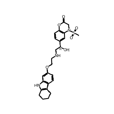 CS(=O)(=O)N1CC(=O)Oc2ccc([C@@H](O)CNCCOc3ccc4c5c([nH]c4c3)CCCC5)cc21